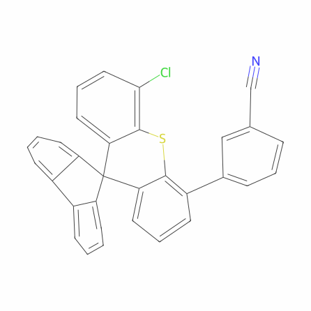 N#Cc1cccc(-c2cccc3c2Sc2c(Cl)cccc2C32c3ccccc3-c3ccccc32)c1